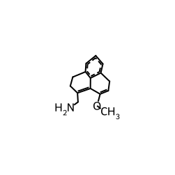 COC1=CCc2cccc3c2C1=C(CN)CC3